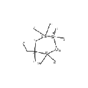 CCC1(C)C[Si](C)(C)[Si](C)(C)OC1(C)C